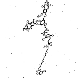 C/C=C1\C[C@H]2C=Nc3cc(OCc4cc(OCCN(C)CC(C)(C)SC5CC(=O)N(CCC(=O)NCCOCCOCCOCCOCCC(=O)ON6C(=O)CCC6=O)C5=O)cc(COc5cc6c(cc5OC)C(=O)N5C/C(=C/C)C[C@H]5C=N6)n4)c(OC)cc3C(=O)N2C1